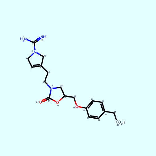 N=C(N)N1CC=C(CCN2CC(COc3ccc(CC(=O)O)cc3)OC2=O)C1